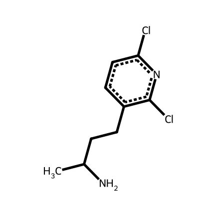 CC(N)CCc1ccc(Cl)nc1Cl